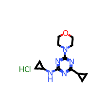 C1CN(c2nc(NC3CC3)nc(C3CC3)n2)CCO1.Cl